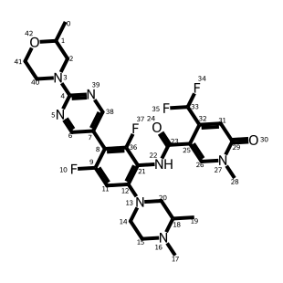 CC1CN(c2ncc(-c3c(F)cc(N4CCN(C)C(C)C4)c(NC(=O)c4cn(C)c(=O)cc4C(F)F)c3F)cn2)CCO1